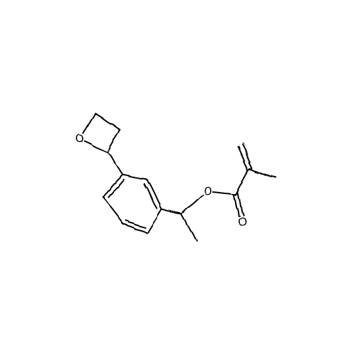 C=C(C)C(=O)OC(C)c1cccc(C2CCO2)c1